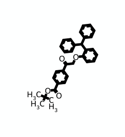 CC(C)(C)OC(=O)c1ccc(C(=O)COc2ccccc2C(c2ccccc2)c2ccccc2)cc1